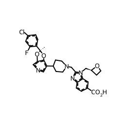 C[C@@]1(c2ccc(Cl)cc2F)Oc2cncc(C3CCN(Cc4nc5ccc(C(=O)O)cc5n4C[C@@H]4CCO4)CC3)c2O1